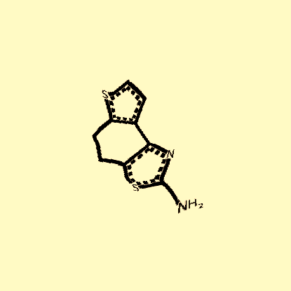 Nc1nc2c(s1)CCc1sccc1-2